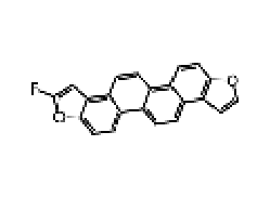 Fc1cc2c(ccc3c2ccc2c4ccc5occc5c4ccc32)o1